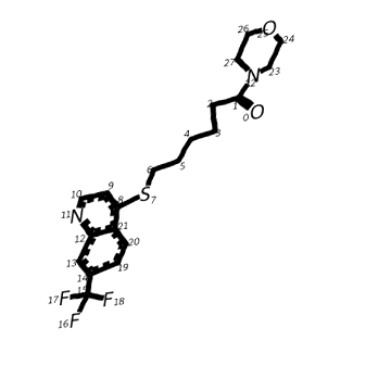 O=C(CCCCCSc1ccnc2cc(C(F)(F)F)ccc12)N1CCOCC1